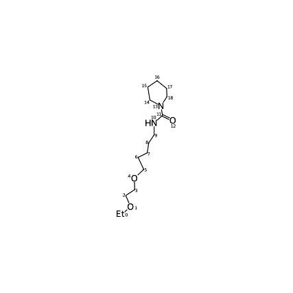 CCOCCOCCCCCNC(=O)N1CCCCC1